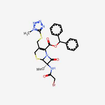 CO[C@@]1(NC(=O)CBr)C(=O)N2C(C(=O)OC(c3ccccc3)c3ccccc3)=C(CSc3nnnn3C)CSC21